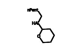 CCCCC[CH2][AlH][CH]1CCCCO1